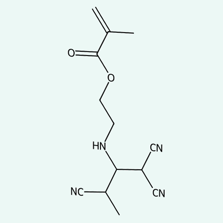 C=C(C)C(=O)OCCNC(C(C)C#N)C(C#N)C#N